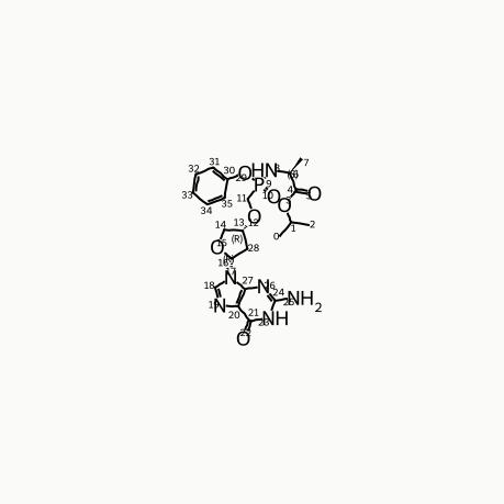 CC(C)OC(=O)[C@H](C)NP(=O)(CO[C@H]1CO[C@@H](n2cnc3c(=O)[nH]c(N)nc32)C1)Oc1ccccc1